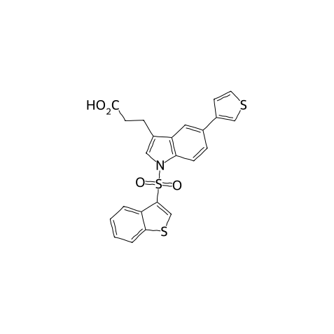 O=C(O)CCc1cn(S(=O)(=O)c2csc3ccccc23)c2ccc(-c3ccsc3)cc12